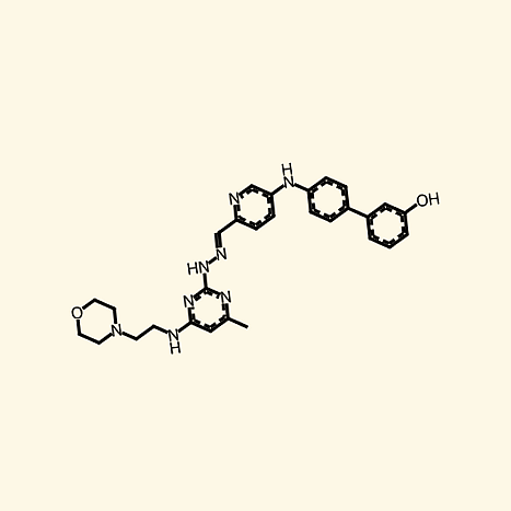 Cc1cc(NCCN2CCOCC2)nc(N/N=C/c2ccc(Nc3ccc(-c4cccc(O)c4)cc3)cn2)n1